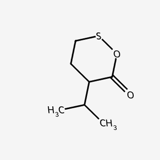 CC(C)C1CCSOC1=O